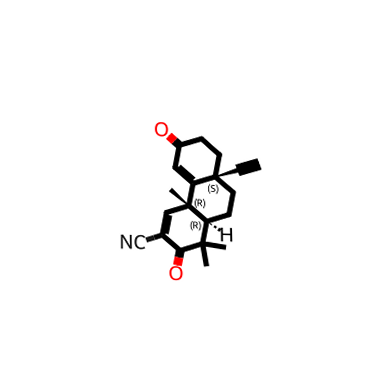 C#C[C@]12CCC(=O)C=C1[C@@]1(C)C=C(C#N)C(=O)C(C)(C)[C@@H]1CC2